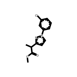 COC(=O)C(C)c1ccn(-c2cccc(Cl)c2)n1